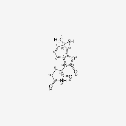 C[C@@]1(S)C=CC=c2c(oc(=O)n2C2CCC(=O)NC2=O)=C1